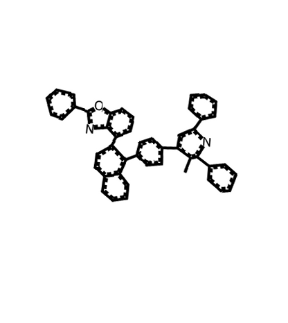 Cc1c(-c2ccc(-c3c(-c4cccc5oc(-c6ccccc6)nc45)ccc4ccccc34)cc2)cc(-c2ccccc2)nc1-c1ccccc1